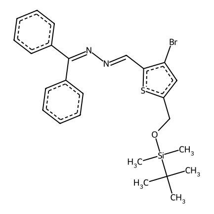 CC(C)(C)[Si](C)(C)OCc1cc(Br)c(C=NN=C(c2ccccc2)c2ccccc2)s1